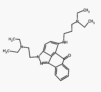 CCN(CC)CCCNc1ccc2c3c(nn2CCN(CC)CC)-c2ccccc2C(=O)c13